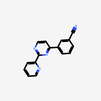 N#Cc1cccc(-c2ccnc(-c3ccccn3)n2)c1